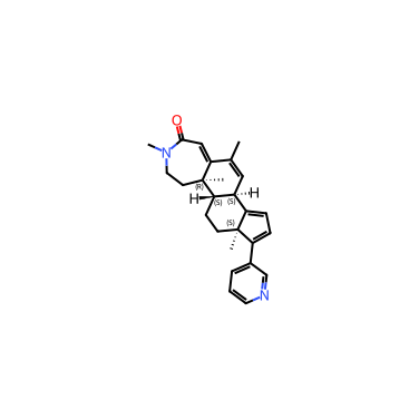 CC1=C[C@H]2C3=CC=C(c4cccnc4)[C@@]3(C)CC[C@@H]2[C@@]2(C)CCN(C)C(=O)C=C12